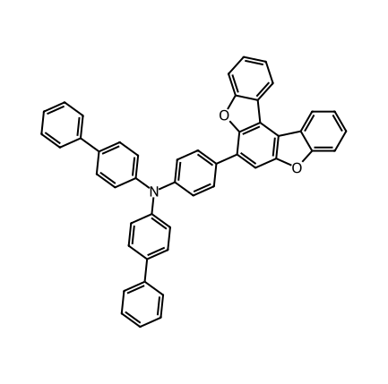 c1ccc(-c2ccc(N(c3ccc(-c4ccccc4)cc3)c3ccc(-c4cc5oc6ccccc6c5c5c4oc4ccccc45)cc3)cc2)cc1